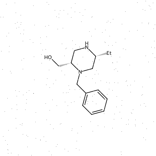 CC[C@@H]1CN(Cc2ccccc2)[C@H](CO)CN1